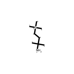 CC(C)(N)CCS(C)(C)C